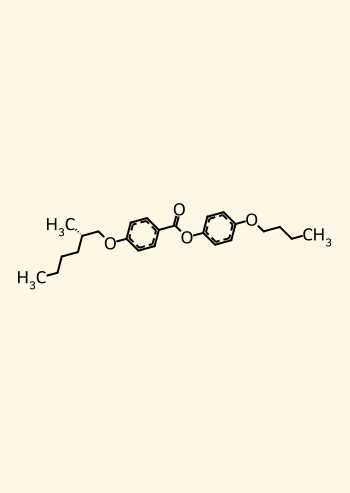 CCCCOc1ccc(OC(=O)c2ccc(OC[C@@H](C)CCCC)cc2)cc1